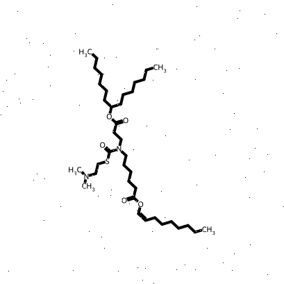 CCCCCCC/C=C\OC(=O)CCCCCN(CCC(=O)OC(CCCCCCC)CCCCCCC)C(=O)SCCN(C)C